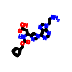 NCCn1cnc2c(-n3cnc(C(CC(=O)O)NC(=O)OCc4ccccc4)c3)ncnc21